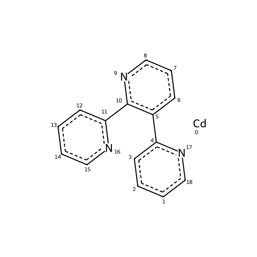 [Cd].c1ccc(-c2cccnc2-c2ccccn2)nc1